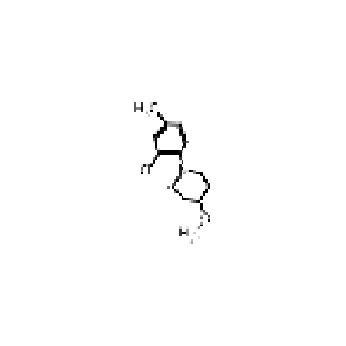 COC1C[CH]N(c2ccc(C)cc2Cl)CC1